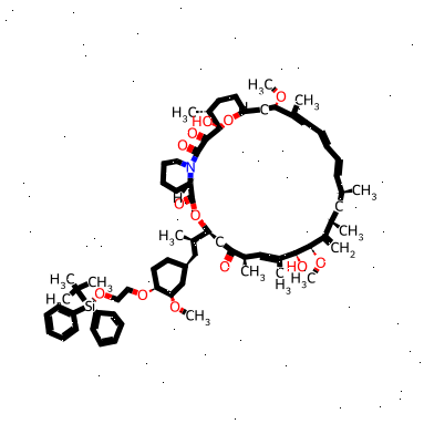 C=C1[C@H](C)C[C@H](C)/C=C/C=C/C=C(\C)[C@@H](OC)C[C@@H]2CC[C@@H](C)[C@@](O)(O2)C(=O)C(=O)N2CCCC[C@H]2C(=O)O[C@H]([C@H](C)C[C@@H]2CC[C@@H](OCCO[Si](c3ccccc3)(c3ccccc3)C(C)(C)C)[C@H](OC)C2)CC(=O)[C@H](C)/C=C(\C)[C@@H](O)[C@H]1OC